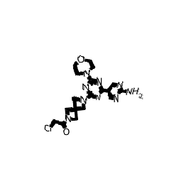 Nc1ncc(-c2nc(N3CCOCC3)nc(N3CC4(CN(C(=O)CCl)C4)C3)n2)cn1